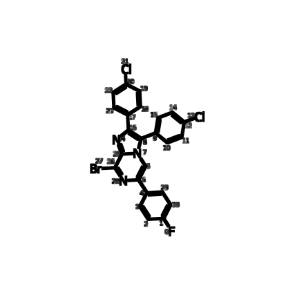 Fc1ccc(-c2cn3c(-c4ccc(Cl)cc4)c(-c4ccc(Cl)cc4)nc3c(Br)n2)cc1